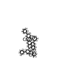 CN1CC=CC=C1N(C1=CCC(c2ccccc2)C=C1C#N)c1ccc2ccc3c4c2c1CCC4CC=C3N(C1=CCC(c2ccccc2)CC1C#N)C1CC=CC=N1